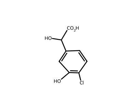 O=C(O)C(O)c1ccc(Cl)c(O)c1